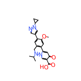 COc1cc2c(cc1-c1cnn(C3CC3)c1)CN(C(C)C)n1cc(C(=O)O)c(=O)cc1-2